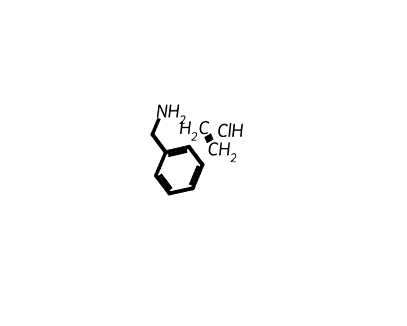 C=C.Cl.NCc1ccccc1